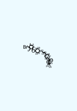 Cc1c(Br)cccc1O[C@H]1CC[C@@H](C/C=C/C2CCN(C(=O)OC(C)(C)C)CC2)CC1